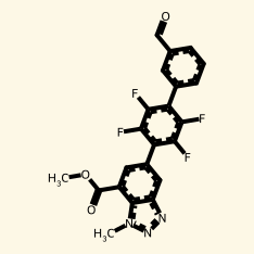 COC(=O)c1cc(-c2c(F)c(F)c(-c3cccc(C=O)c3)c(F)c2F)cc2nnn(C)c12